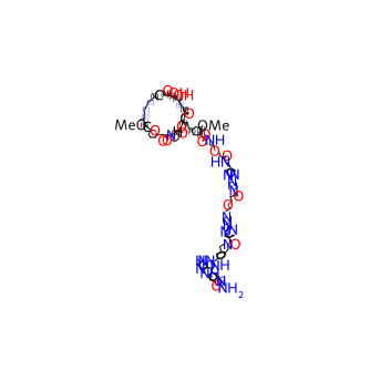 CO[C@H]1CC2CCCC(O2)C(=O)C(=O)N2CCCC[C@H]2C(=O)O[C@H](CC[C@@H]2CC[C@@H](OC(=O)NCCOCCC(=O)NCc3cnc(N4CCN(C(=O)CCOCCN5CCN(c6ncc(C(=O)N7CCc8cc(CNc9ncnc(N)c9C(=N)c9ccc%10oc(N)nc%10c9)ccc8C7)cn6)CC5)CC4)nc3)[C@H](OC)C2)CC(=O)[C@H](C)/C=C(\C)[C@@H](O)[C@@H](O)C(=O)[C@H](C)C[C@H](C)/C=C/C=C/C=C/1C